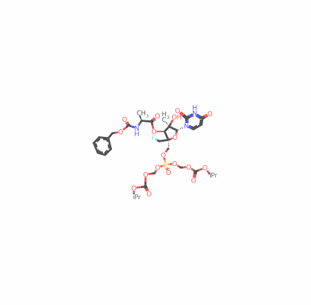 CC(C)OC(=O)OCOP(=O)(OCOC(=O)OC(C)C)OC[C@@]1(CF)O[C@@H](n2ccc(=O)[nH]c2=O)[C@](C)(O)[C@@H]1OC(=O)[C@H](C)NC(=O)OCc1ccccc1